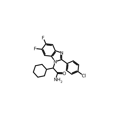 NC(=O)C(C1CCCCC1)n1c(-c2ccc(Cl)cc2)nc2cc(F)c(F)cc21